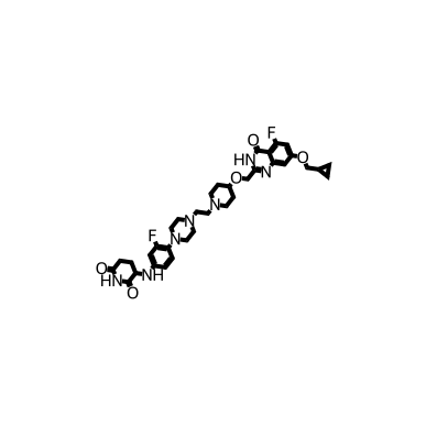 O=C1CCC(Nc2ccc(N3CCN(CCN4CCC(OCc5nc6cc(OCC7CC7)cc(F)c6c(=O)[nH]5)CC4)CC3)c(F)c2)C(=O)N1